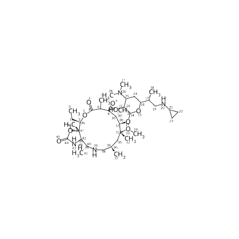 CC[C@H]1OC(=O)C(C)C(=O)[C@H](C)[C@@H](OC2OC(C(C)CNC3CC3)CC(N(C)C)C2O)[C@](C)(OC)C[C@@H](C)CN[C@H](C)[C@H]2NC(=O)O[C@@]21C